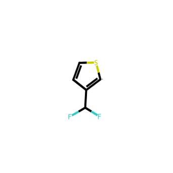 FC(F)c1[c]scc1